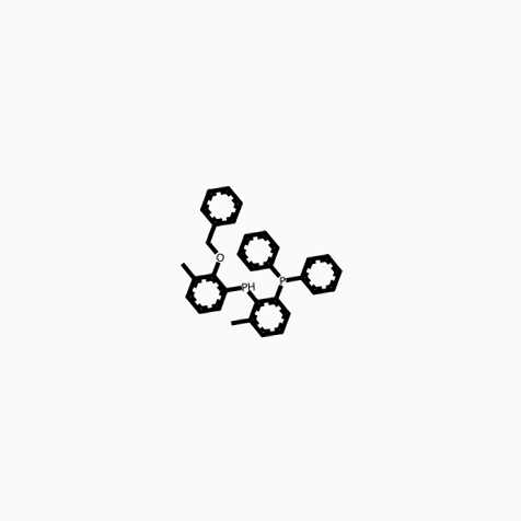 Cc1cccc(Pc2c(C)cccc2P(c2ccccc2)c2ccccc2)c1OCc1ccccc1